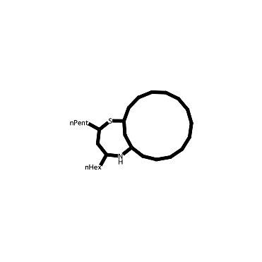 CCCCCCC1CC(CCCCC)SC2CCCCCCCCCCCCC(C2)N1